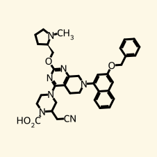 CN1CCC[C@@H]1COc1nc2c(c(N3CCN(C(=O)O)C(CC#N)C3)n1)CCN(c1cc(OCc3ccccc3)cc3ccccc13)C2